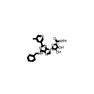 CNC(=O)[C@H]1O[C@@H](n2cnc3c(NCc4ccccc4)nc(-c4cncc(C)c4)nc32)[C@H](O)[C@@H]1O